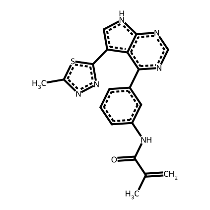 C=C(C)C(=O)Nc1cccc(-c2ncnc3[nH]cc(-c4nnc(C)s4)c23)c1